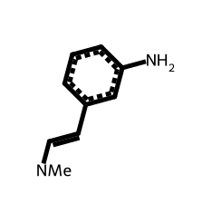 CNC=Cc1cccc(N)c1